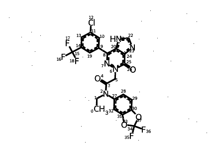 CCN(C(=O)Cn1nc(-c2cc(Cl)cc(C(F)(F)F)c2)c2[nH]cnc2c1=O)c1ccc2c(c1)OC(F)(F)O2